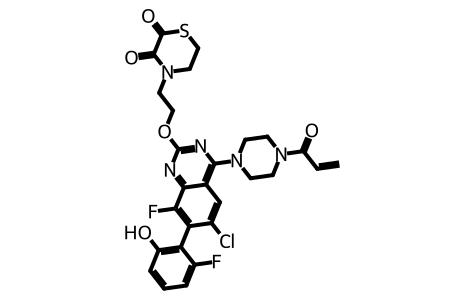 C=CC(=O)N1CCN(c2nc(OCCN3CCSC(=O)C3=O)nc3c(F)c(-c4c(O)cccc4F)c(Cl)cc23)CC1